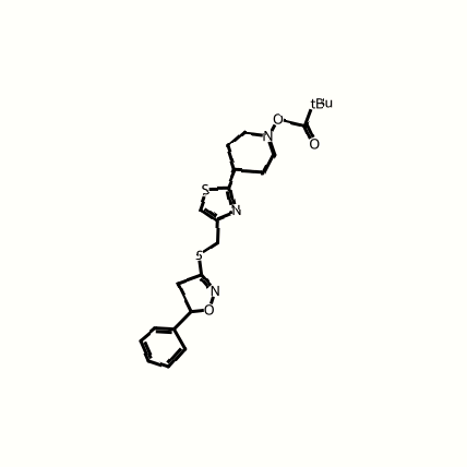 CC(C)(C)C(=O)ON1CCC(c2nc(CSC3=NOC(c4ccccc4)C3)cs2)CC1